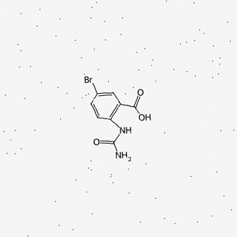 NC(=O)Nc1ccc(Br)cc1C(=O)O